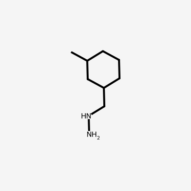 CC1CCCC(CNN)C1